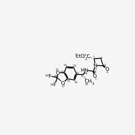 CCOC(=O)[C@@H]1CC(=O)N1C(=O)N[C@H](C)c1ccc2c(c1)OC(F)(F)O2